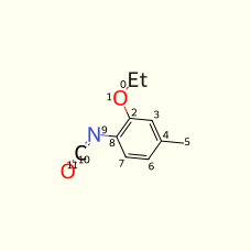 CCOc1cc(C)ccc1N=C=O